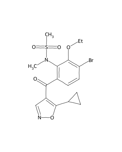 CCOc1c(Br)ccc(C(=O)c2cnoc2C2CC2)c1N(C)S(C)(=O)=O